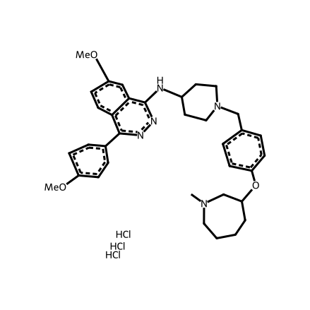 COc1ccc(-c2nnc(NC3CCN(Cc4ccc(OC5CCCCN(C)C5)cc4)CC3)c3cc(OC)ccc23)cc1.Cl.Cl.Cl